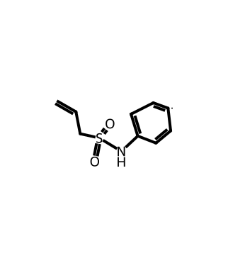 C=CCS(=O)(=O)Nc1cc[c]cc1